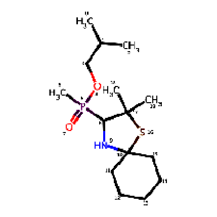 CC(C)COP(C)(=O)C1NC2(CCCCC2)SC1(C)C